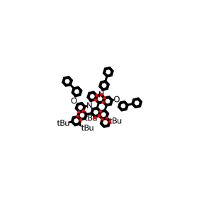 CC(C)(C)c1cc(-c2cc(Oc3cccc(-c4ccccc4)c3)cc(N(c3ccc(-c4ccccc4)cc3)c3cccc(N(c4cc(Oc5cccc(-c6ccccc6)c5)cc(-c5cc(C(C)(C)C)cc(C(C)(C)C)c5)c4)c4c(-c5ccccc5)cc(-c5ccccc5)cc4-c4ccccc4)c3)c2)cc(C(C)(C)C)c1